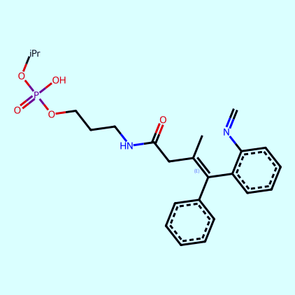 C=Nc1ccccc1/C(=C(\C)CC(=O)NCCCOP(=O)(O)OC(C)C)c1ccccc1